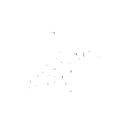 Cn1nc(NS(C)(=O)=O)c2c(Cl)ccc(-n3c([C@H](Cc4cc(F)cc(F)c4)NC(=O)Cn4nc(C(F)F)c5c4C(F)(F)[C@@H]4C[C@H]54)nc4nc(OC5CC(F)(F)C5)ccc4c3=O)c21